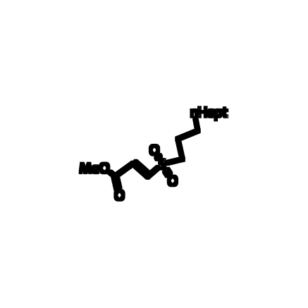 CCCCCCCCCCS(=O)(=O)/C=C/C(=O)OC